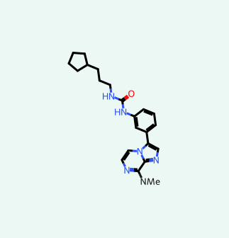 CNc1nccn2c(-c3cccc(NC(=O)NCCCC4CCCC4)c3)cnc12